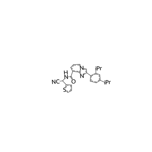 CC(C)c1ccc(-c2cn3cccc(C(=O)NC(C#N)c4cccs4)c3n2)c(C(C)C)c1